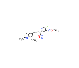 CCO/N=C/c1cc(C(CCCc2cc(CC)c3c(c2)CSC(C)=N3)c2nnco2)ncc1F